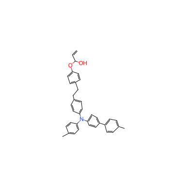 C=CC(O)Oc1ccc(CCc2ccc(N(c3ccc(C)cc3)c3ccc(-c4ccc(C)cc4)cc3)cc2)cc1